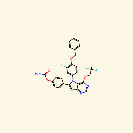 NC(=O)Oc1ccc(-c2cc3ncnc(OCC(F)(F)F)c3n2-c2ccc(OCc3ccccc3)c(F)c2)cc1